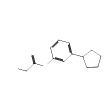 CCC(=O)Oc1cccc(C2CCCC2)c1